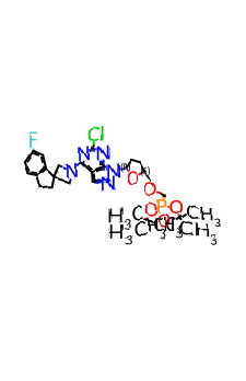 CC(C)(C)OP(=O)(COC[C@@H]1CC[C@H](n2ncc3c(N4CC5(CCc6ccc(F)cc65)C4)nc(Cl)nc32)O1)OC(C)(C)C